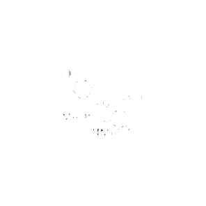 CCOc1ccccc1OC(c1ccc(Cl)cc1)C(CNC)OC